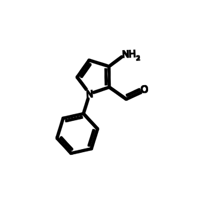 Nc1ccn(-c2ccccc2)c1C=O